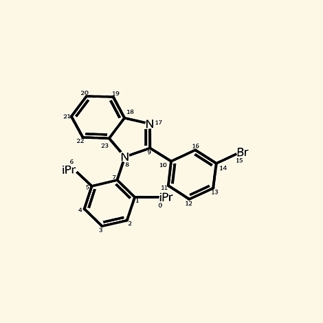 CC(C)c1cccc(C(C)C)c1-n1c(-c2cccc(Br)c2)nc2ccccc21